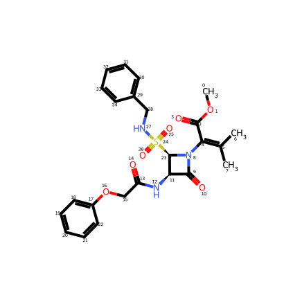 COC(=O)C(=C(C)C)N1C(=O)[C@@H](NC(=O)COc2ccccc2)[C@H]1S(=O)(=O)NCc1ccccc1